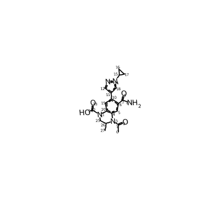 CC(=O)N1c2cc(C(N)=O)c(-c3cnn(C4CC4)c3)cc2N(C(=O)O)CC1C